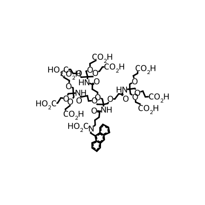 O=C(O)CCOCC(COCCC(=O)O)(COCCC(=O)O)NC(=O)CCOCC(COCCC(=O)NC(COCCC(=O)O)(COCCC(=O)O)COCCC(=O)O)(COCCC(=O)NC(COCCC(=O)O)(COCCC(=O)O)COCCC(=O)O)NC(=O)CCCN(Cc1c2ccccc2cc2ccccc12)C(=O)O